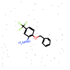 NNc1cc(C(F)(F)F)ccc1OCc1ccccc1